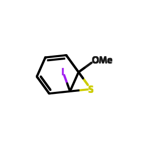 COC12C=CC=CC1(I)S2